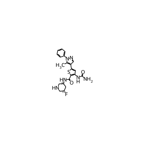 Cc1c(-c2cc(NC(N)=O)c(C(=O)N[C@@H]3CNC[C@@H](F)C3)s2)cnn1-c1ccccc1